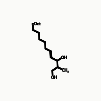 CCCCCCCCCCCCC/C=C/C(O)C(C)CO